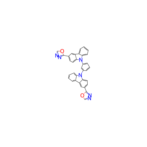 c1cc(-n2c3ccccc3c3cc(-c4nnco4)ccc32)cc(-n2c3ccccc3c3cc(-c4nnco4)ccc32)c1